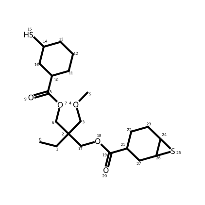 CCC(COC)(COC(=O)C1CCCC(S)C1)COC(=O)C1CCC2SC2C1